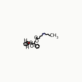 CCCC/C=C\CCCC(=O)OCC(C(=O)O[C@H]1C[C@H]2CC[C@@H](C1)N2C)c1ccccc1